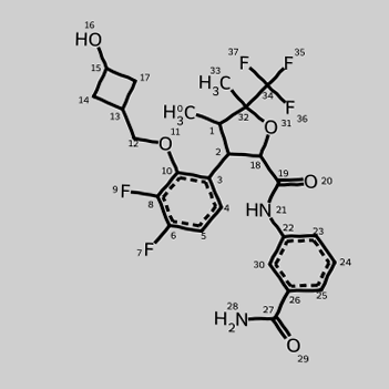 CC1C(c2ccc(F)c(F)c2OCC2CC(O)C2)C(C(=O)Nc2cccc(C(N)=O)c2)OC1(C)C(F)(F)F